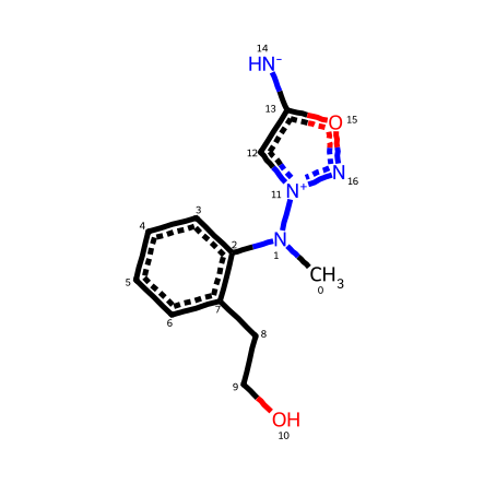 CN(c1ccccc1CCO)[n+]1cc([NH-])on1